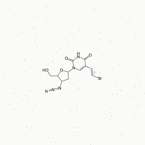 [N-]=[N+]=NC1CC(n2cc(/C=C/Br)c(=O)[nH]c2=O)OC1CO